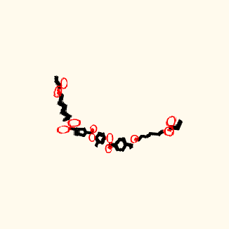 C=CC(=O)OCCCCCCOC(=C)C1CCC(C(=O)Oc2ccc(OC(=O)C3CCC(C(=O)OCCCCCCOC(=O)C=C)C3)c(C)c2)CC1